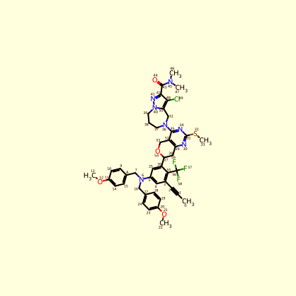 CC#Cc1cc(N(Cc2ccc(OC)cc2)Cc2ccc(OC)cc2)cc(C2Cc3nc(SC)nc(N4CCCn5nc(C(=O)N(C)C)c(Cl)c5C4)c3CO2)c1C(F)(F)F